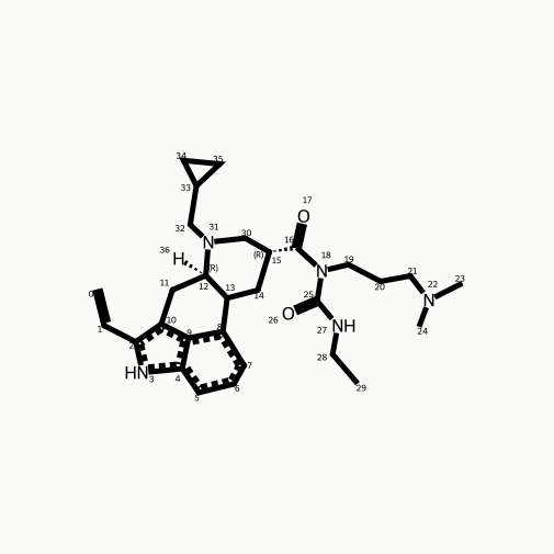 C=Cc1[nH]c2cccc3c2c1C[C@@H]1C3C[C@@H](C(=O)N(CCCN(C)C)C(=O)NCC)CN1CC1CC1